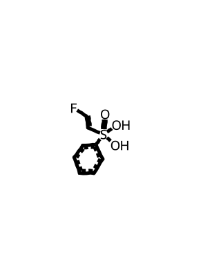 O=S(O)(O)(C=CF)c1ccccc1